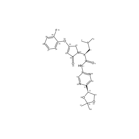 CC(C)C[C@@H](C(=O)Nc1cnc([C@H]2COC(C)(C)O2)cn1)N1CC(Oc2ccccc2F)=CC1=O